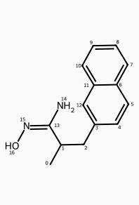 CC(Cc1ccc2ccccc2c1)/C(N)=N\O